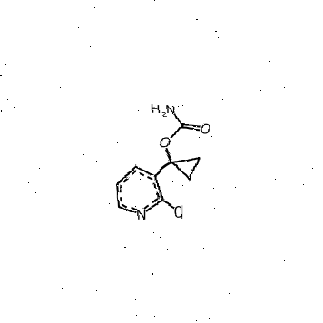 NC(=O)OC1(c2cccnc2Cl)CC1